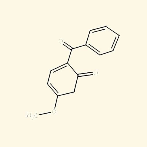 COC1=CC=C(C(=O)c2ccccc2)C(=O)C1